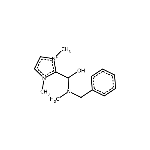 CN(Cc1ccccc1)C(O)c1n(C)cc[n+]1C